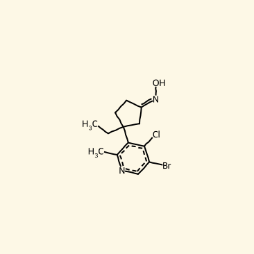 CCC1(c2c(C)ncc(Br)c2Cl)CC/C(=N\O)C1